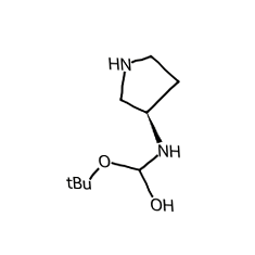 CC(C)(C)OC(O)N[C@@H]1CCNC1